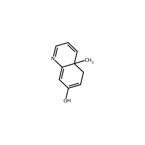 CC12C=CC=NC1=CC(O)=CC2